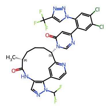 C[C@@H]1CCC[C@H](n2cnc(-c3cc(Cl)c(Cl)cc3-n3cc(C(F)(F)F)nn3)cc2=O)c2cc(ccn2)-c2c(cnn2C(F)F)NC1=O